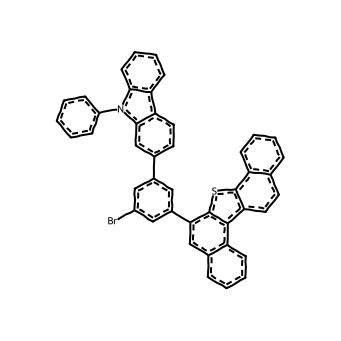 Brc1cc(-c2ccc3c4ccccc4n(-c4ccccc4)c3c2)cc(-c2cc3ccccc3c3c2sc2c4ccccc4ccc23)c1